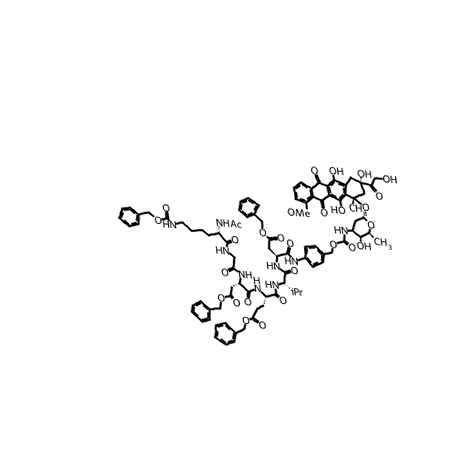 COc1cccc2c1C(=O)c1c(O)c3c(c(O)c1C2=O)C[C@@](O)(C(=O)CO)C[C@]3(C)O[C@H]1CC(NC(=O)OCc2ccc(NC(=O)[C@H](CC(=O)OCc3ccccc3)NC(=O)[C@@H](NC(=O)[C@H](CCC(=O)OCc3ccccc3)NC(=O)[C@H](CC(=O)OCc3ccccc3)NC(=O)CNC(=O)[C@H](CCCCNC(=O)OCc3ccccc3)NC(C)=O)C(C)C)cc2)[C@H](O)[C@H](C)O1